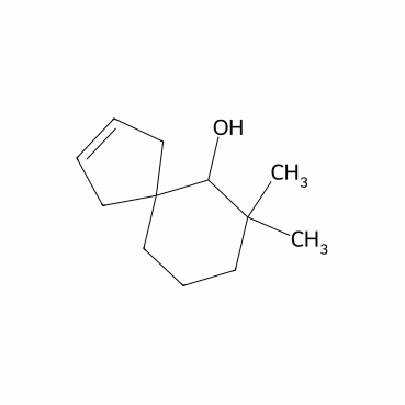 CC1(C)CCCC2(CC=CC2)C1O